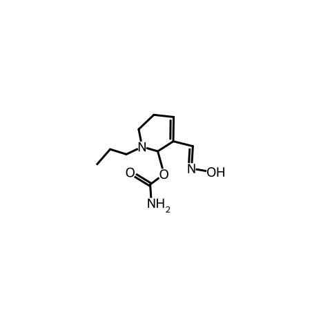 CCCN1CCC=C(C=NO)C1OC(N)=O